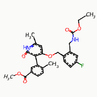 CCOC(=O)NCc1cc(F)ccc1COc1cc(C)[nH]c(=O)c1-c1cc(C(=O)OC)ccc1C